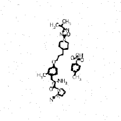 Cc1cc(OCCCC2CCN(c3nc(C(C)C)no3)CC2)ccc1C[C@H](N)C(=O)N1CCC[C@H]1C#N.Cc1ccc(S(=O)(=O)O)cc1